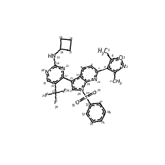 Cc1noc(C)c1-c1ccc2c(-c3nc(NC4CCC4)ncc3C(F)(F)F)cn(S(=O)(=O)c3ccccc3)c2n1